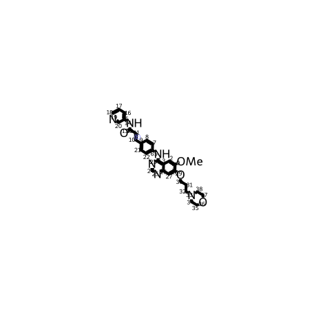 COc1cc2c(Nc3ccc(/C=C/C(=O)Nc4cccnc4)cc3)ncnc2cc1OCCCN1CCOCC1